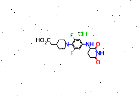 Cl.O=C(O)CC1CCN(c2c(F)cc(NC3CCC(=O)NC3=O)cc2F)CC1